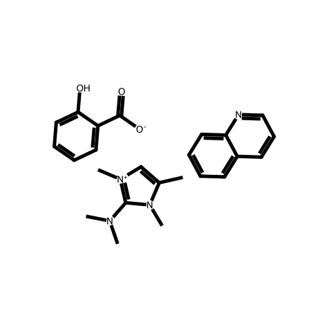 Cc1c[n+](C)c(N(C)C)n1C.O=C([O-])c1ccccc1O.c1ccc2ncccc2c1